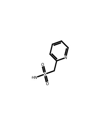 [NH]S(=O)(=O)Cc1ccccn1